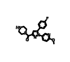 COc1ccc(-n2nc(C(=O)N3CCNCC3)cc2-c2ccc(F)cc2)cn1